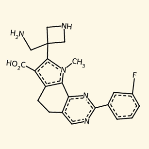 Cn1c2c(c(C(=O)O)c1C1(CN)CNC1)CCc1cnc(-c3cccc(F)c3)nc1-2